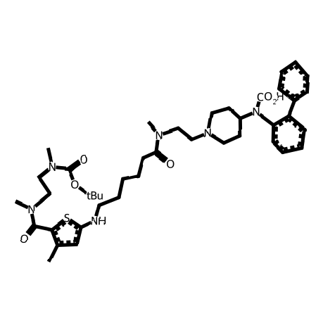 Cc1cc(NCCCCCC(=O)N(C)CCN2CCC(N(C(=O)O)c3ccccc3-c3ccccc3)CC2)sc1C(=O)N(C)CCN(C)C(=O)OC(C)(C)C